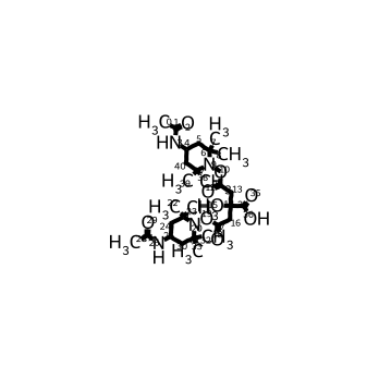 CC(=O)NC1CC(C)(C)N(OC(=O)CC(O)(CC(=O)ON2C(C)(C)CC(NC(C)=O)CC2(C)C)C(=O)O)C(C)(C)C1